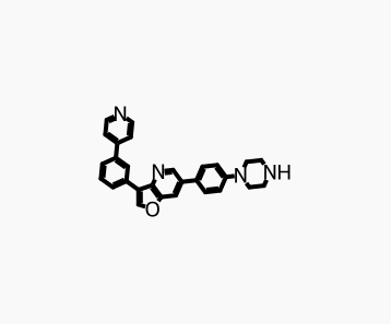 c1cc(-c2ccncc2)cc(-c2coc3cc(-c4ccc(N5CCNCC5)cc4)cnc23)c1